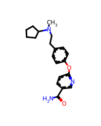 CN(CCc1ccc(Oc2ccc(C(N)=O)cn2)cc1)C1CCCC1